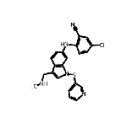 CNCc1cn(Sc2cccnc2)c2cc(Nc3ccc(Cl)cc3C#N)ccc12